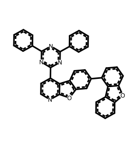 c1ccc(-c2nc(-c3ccccc3)nc(-c3ccnc4oc5cc(-c6cccc7oc8ccccc8c67)ccc5c34)n2)cc1